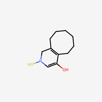 OC1=CN(S)CC2=C1CCCCCC2